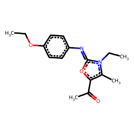 CCOc1ccc(/N=c2\oc(C(C)=O)c(C)n2CC)cc1